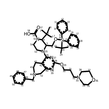 CC(C)(C)C1C(CO[Si](c2ccccc2)(c2ccccc2)C(C)(C)C)N(c2nc(OCCCN3CCOCC3)nc3c2CCN(Cc2ccccc2)C3)CCN1C(=O)O